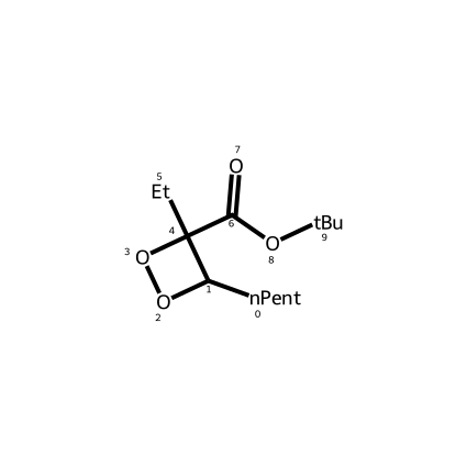 CCCCCC1OOC1(CC)C(=O)OC(C)(C)C